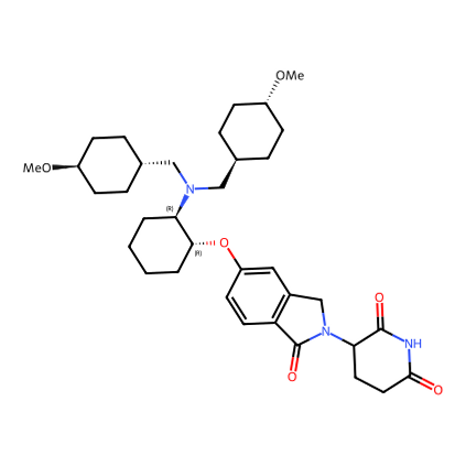 CO[C@H]1CC[C@H](CN(C[C@H]2CC[C@H](OC)CC2)[C@@H]2CCCC[C@H]2Oc2ccc3c(c2)CN(C2CCC(=O)NC2=O)C3=O)CC1